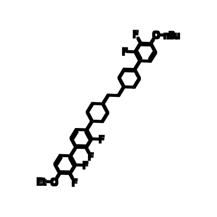 CCCCOc1ccc(C2=CCC(CCC3CCC(c4ccc(-c5ccc(OCC)c(F)c5F)c(F)c4F)CC3)CC2)c(F)c1F